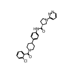 O=C(Nc1ccc(C2CCN(C(=O)c3ccccc3Cl)CC2)cc1)[C@H]1CCN(c2cccnn2)C1